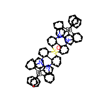 O=S12(c3cccc(N4c5ccccc5B(c5ccccc5)c5ccccc54)c3-c3c(N4c5ccccc5B(c5ccccc5)c5ccccc54)cccc31)c1cccc(N3c4ccccc4B(c4ccccc4)c4ccccc43)c1-c1c(N3c4ccccc4B(c4ccccc4)c4ccccc43)cccc12